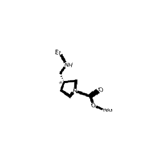 CCNC[C@H]1CCN(C(=O)OC(C)(C)C)C1